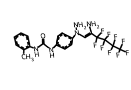 Cc1ccccc1NC(=O)Nc1ccc(N(N)/C=C(\N)C(F)(F)C(F)(F)C(F)(F)C(F)(F)F)cc1